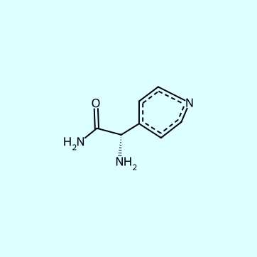 NC(=O)[C@@H](N)c1ccncc1